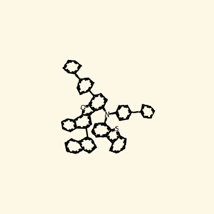 c1ccc(-c2ccc(-c3ccc(N(c4ccc(-c5ccccc5)cc4)c4cccc5c4sc4ccccc45)c4c3oc3c5ccccc5c(-c5cccc6ccccc56)cc34)cc2)cc1